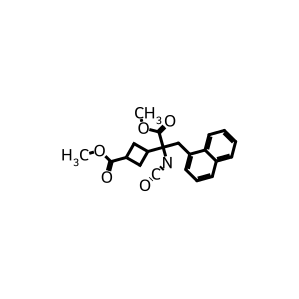 COC(=O)C1CC(C(Cc2cccc3ccccc23)(N=C=O)C(=O)OC)C1